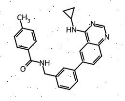 Cc1ccc(C(=O)NCc2cccc(-c3ccc4ncnc(NC5CC5)c4c3)c2)cc1